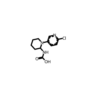 O=C(O)NC1CCCCN1c1ccc(Cl)nc1